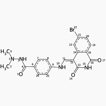 CN(C)NC(=O)c1ccc(NC=C2C(=O)NC(=O)c3ccc(Br)cc32)cc1